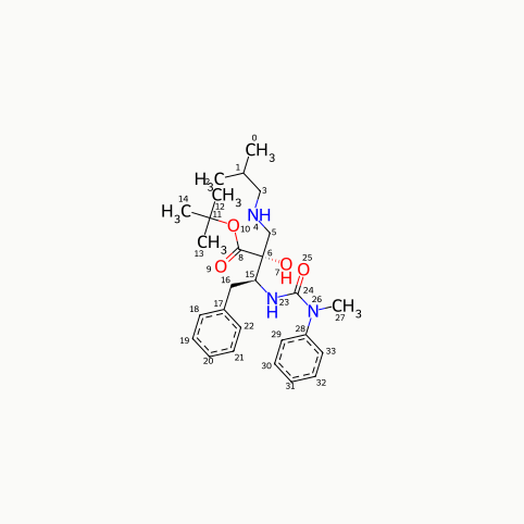 CC(C)CNC[C@](O)(C(=O)OC(C)(C)C)[C@H](Cc1ccccc1)NC(=O)N(C)c1ccccc1